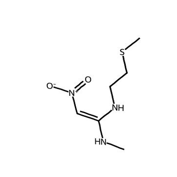 CNC(=C[N+](=O)[O-])NCCSC